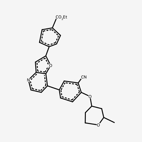 CCOC(=O)c1ccc(-c2cc3nccc(-c4ccc(OC5CCOC(C)C5)c(C#N)c4)c3o2)cc1